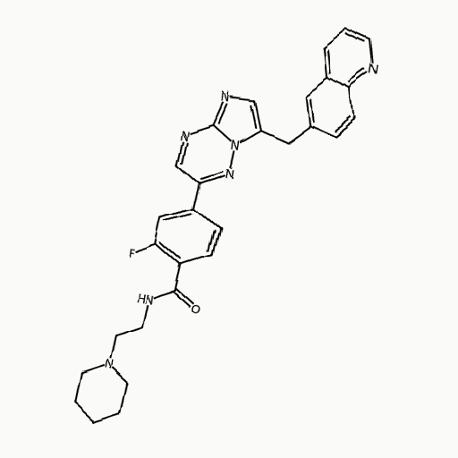 O=C(NCCN1CCCCC1)c1ccc(-c2cnc3ncc(Cc4ccc5ncccc5c4)n3n2)cc1F